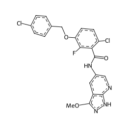 COc1n[nH]c2ncc(NC(=O)c3c(Cl)ccc(OCc4ccc(Cl)cc4)c3F)cc12